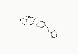 CC(NC1CCCCC1)C(=O)c1ccc(OCc2ccccc2)cc1